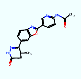 CC(=O)Nc1ccc(-c2nc3ccc(C4=NNC(=O)CC4C)cc3o2)cn1